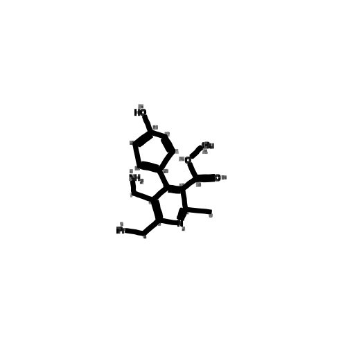 Cc1nc(CC(C)C)c(CN)c(-c2ccc(O)cc2)c1C(=O)OC(C)(C)C